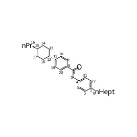 CCCCCCCc1ccc(CC(=O)c2ccc([C@H]3CC[C@H](CCC)CC3)cc2)cc1